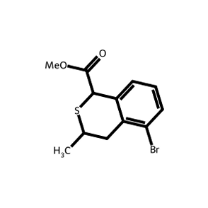 COC(=O)C1SC(C)Cc2c(Br)cccc21